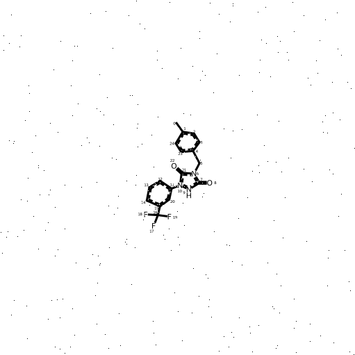 Cc1ccc(Cn2c(=O)[nH]n(-c3cccc(C(F)(F)F)c3)c2=O)cc1